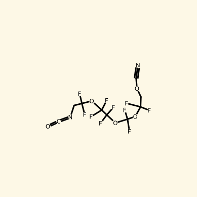 N#COCC(F)(F)OC(F)(F)OC(F)(F)C(F)(F)OC(F)(F)CN=C=O